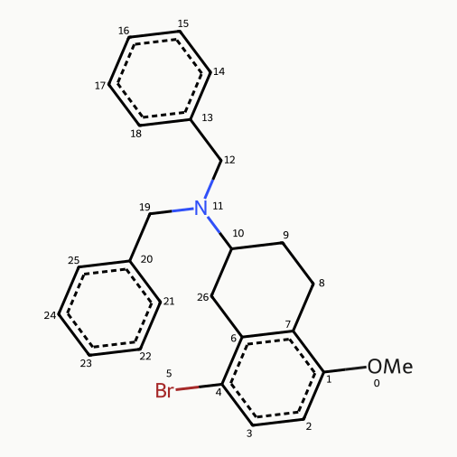 COc1ccc(Br)c2c1CCC(N(Cc1ccccc1)Cc1ccccc1)C2